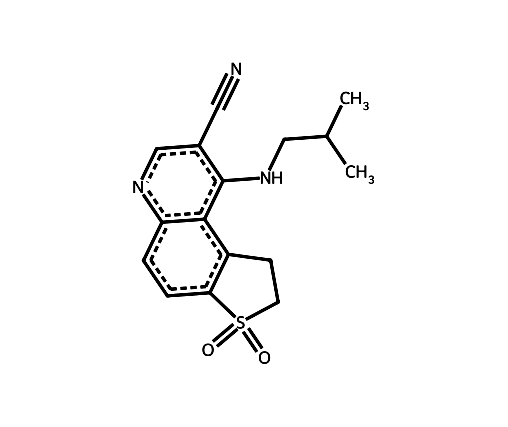 CC(C)CNc1c(C#N)cnc2ccc3c(c12)CCS3(=O)=O